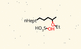 CCCCCCCCCCC(C)OCC.O=S(=O)(O)O